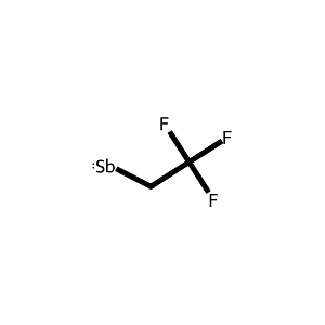 FC(F)(F)[CH2][Sb]